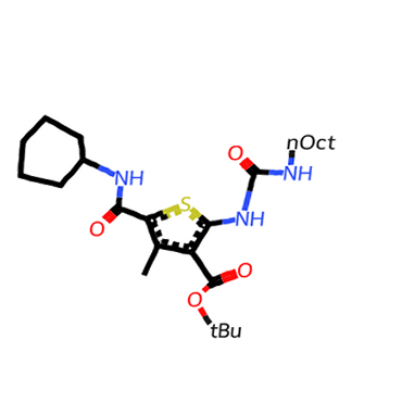 CCCCCCCCNC(=O)Nc1sc(C(=O)NC2CCCCC2)c(C)c1C(=O)OC(C)(C)C